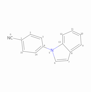 N#Cc1ccc(-n2ccc3c[c]ccc32)cc1